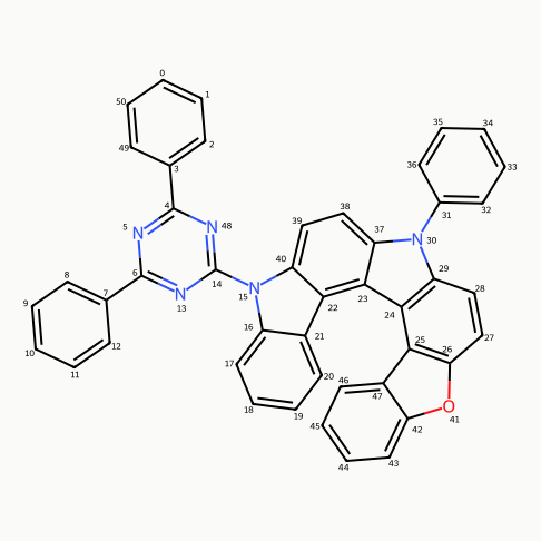 c1ccc(-c2nc(-c3ccccc3)nc(-n3c4ccccc4c4c5c6c7c(ccc6n(-c6ccccc6)c5ccc43)oc3ccccc37)n2)cc1